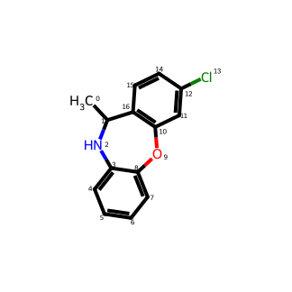 CC1Nc2ccccc2Oc2cc(Cl)ccc21